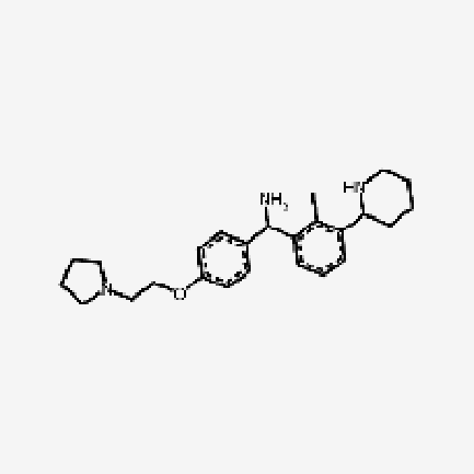 Cc1c(C2CCCCN2)cccc1C(N)c1ccc(OCCN2CCCC2)cc1